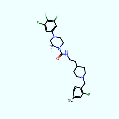 C[C@@H]1CN(c2cc(F)c(F)c(F)c2)CCN1C(=O)NCCC1CCN(Cc2ccc(C#N)cc2F)CC1